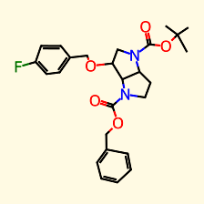 CC(C)(C)OC(=O)N1CC(OCc2ccc(F)cc2)C2C1CCN2C(=O)OCc1ccccc1